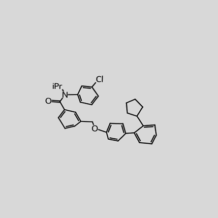 CC(C)N(C(=O)c1cccc(COc2ccc(-c3ccccc3C3CCCC3)cc2)c1)c1cccc(Cl)c1